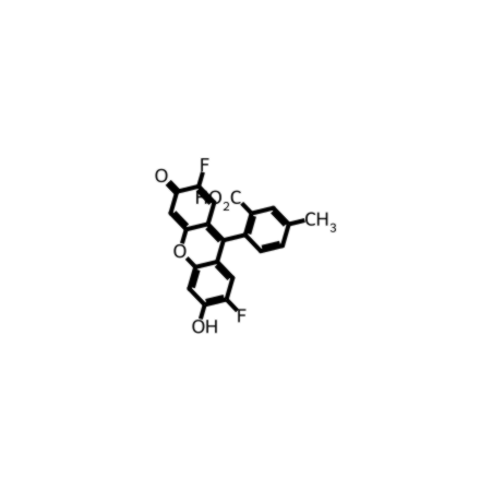 Cc1ccc(-c2c3cc(F)c(=O)cc-3oc3cc(O)c(F)cc23)c(C(=O)O)c1